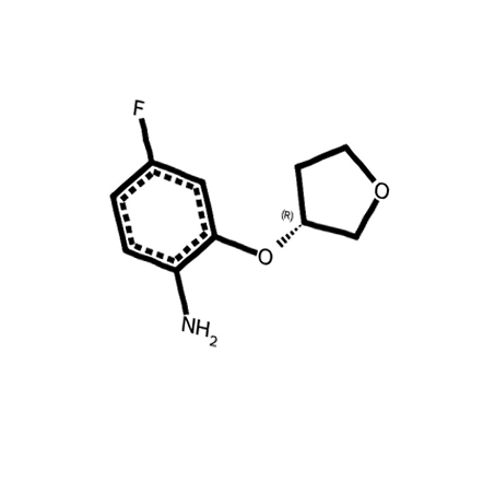 Nc1ccc(F)cc1O[C@@H]1CCOC1